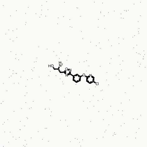 NC(CO)Cc1nc(-c2cccc(Oc3ccc(Cl)cn3)c2)no1